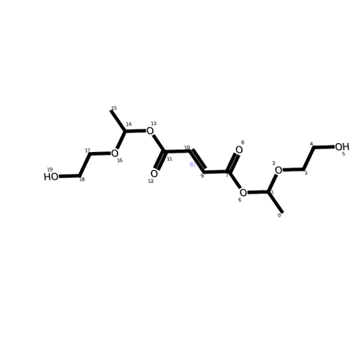 CC(OCCO)OC(=O)/C=C/C(=O)OC(C)OCCO